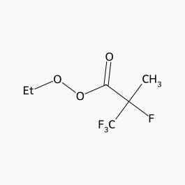 CCOOC(=O)C(C)(F)C(F)(F)F